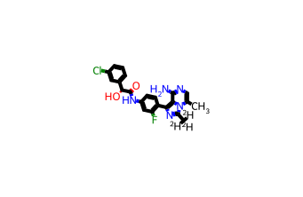 [2H]C([2H])([2H])c1nc(-c2ccc(NC(=O)[C@@H](O)c3cccc(Cl)c3)cc2F)c2c(N)ncc(C)n12